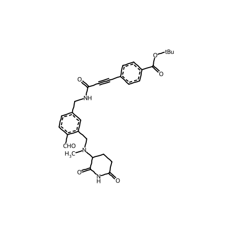 CN(Cc1cc(CNC(=O)C#Cc2ccc(C(=O)OC(C)(C)C)cc2)ccc1C=O)C1CCC(=O)NC1=O